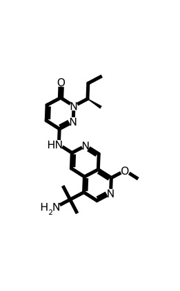 CC[C@@H](C)n1nc(Nc2cc3c(C(C)(C)N)cnc(OC)c3cn2)ccc1=O